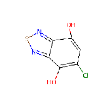 Oc1cc(Cl)c(O)c2nsnc12